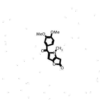 COc1ccc(C(=O)c2cc3c(n2C)CC(=O)O3)cc1OC